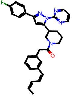 C/C=C\C=C/c1cccc(CC(=O)N2CCCC(c3cc(-c4ccc(F)cc4)nn3-c3ncccn3)C2)c1